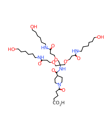 O=C(O)CCCC(=O)N1CCC(C(=O)NC(COCCC(=O)NCCCCCCO)(COCCC(=O)NCCCCCCO)COCCC(=O)NCCCCCCO)CC1